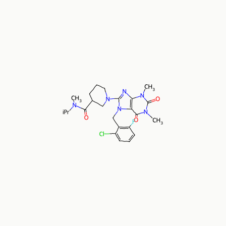 CC(C)N(C)C(=O)C1CCCN(c2nc3c(c(=O)n(C)c(=O)n3C)n2Cc2c(F)cccc2Cl)C1